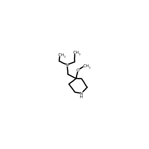 CCN(CC)CC1(OC)CCNCC1